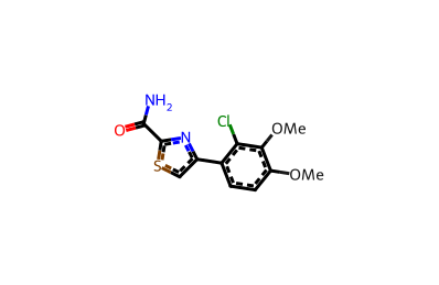 COc1ccc(-c2csc(C(N)=O)n2)c(Cl)c1OC